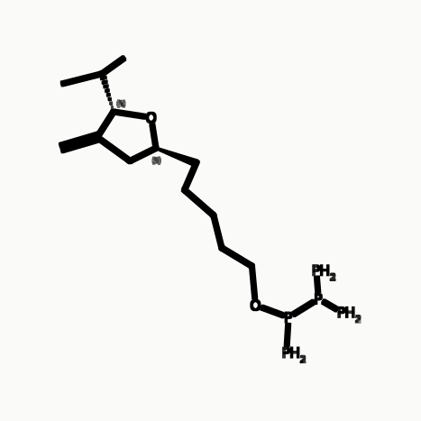 C=C1C[C@H](CCCCCOP(P)P(P)P)O[C@H]1C(C)C